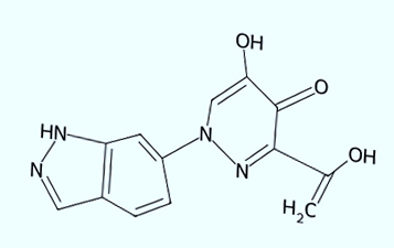 C=C(O)c1nn(-c2ccc3cn[nH]c3c2)cc(O)c1=O